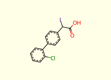 O=C(O)C(I)c1ccc(-c2ccccc2Cl)cc1